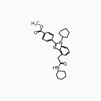 COC(=O)c1ccc(-c2nc3c(CC(=O)NC4CCCCC4)cccc3n2C2CCCCC2)cc1